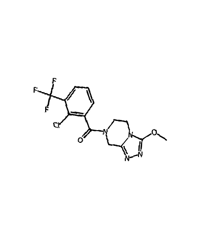 COc1nnc2n1CCN(C(=O)c1cccc(C(F)(F)F)c1Cl)C2